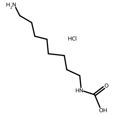 Cl.NCCCCCCCCNC(=O)O